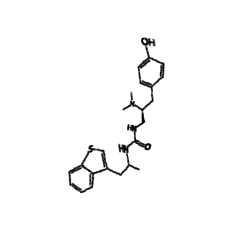 CC(Cc1csc2ccccc12)NC(=O)NC[C@H](Cc1ccc(O)cc1)N(C)C